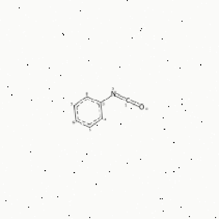 O=C=Nc1cc[c]cc1